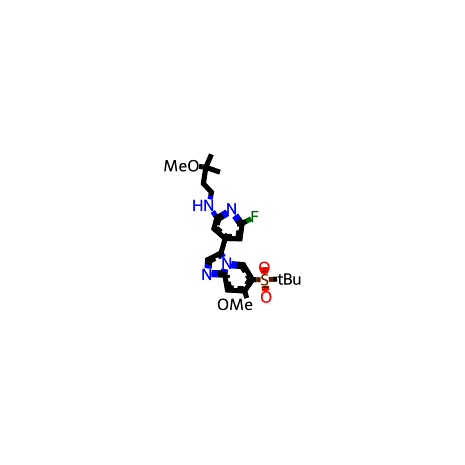 COc1cc2ncc(-c3cc(F)nc(NCCC(C)(C)OC)c3)n2cc1S(=O)(=O)C(C)(C)C